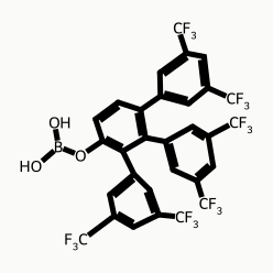 OB(O)Oc1ccc(-c2cc(C(F)(F)F)cc(C(F)(F)F)c2)c(-c2cc(C(F)(F)F)cc(C(F)(F)F)c2)c1-c1cc(C(F)(F)F)cc(C(F)(F)F)c1